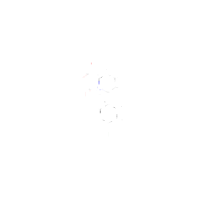 O=C(O)c1cccc(-c2ccc(F)cc2)[n+]1O